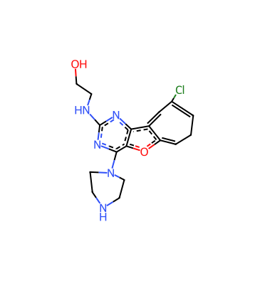 OCCNc1nc(N2CCNCC2)c2oc3c(c2n1)=CC(Cl)=CCC=3